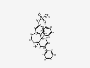 O=S(=O)(Oc1ccc2c(c1)CCC[C@H]1CC(c3ccccc3)=CCC21c1ccccc1)C(F)(F)F